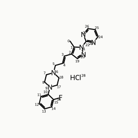 Cc1c(/C=C/CN2CCN(c3ccccc3F)CC2)cnn1-c1ncccn1.Cl